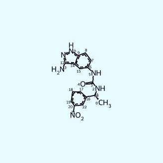 C[C@H](NC(=O)Nc1ccc2[nH]nc(N)c2c1)c1cccc([N+](=O)[O-])c1